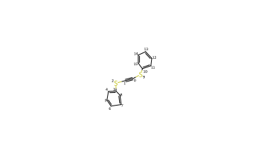 C(#CSc1ccccc1)Sc1ccccc1